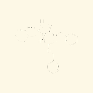 CC(O)(CC1CCCOC1)N(NC(=O)OCc1ccccc1)C(=O)OCc1ccccc1